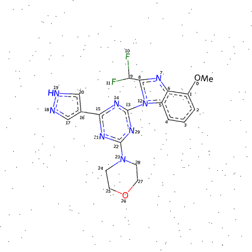 COc1cccc2c1nc(C(F)F)n2-c1nc(-c2cn[nH]c2)nc(N2CCOCC2)n1